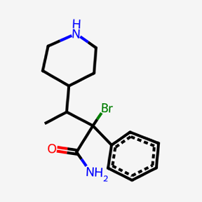 CC(C1CCNCC1)C(Br)(C(N)=O)c1ccccc1